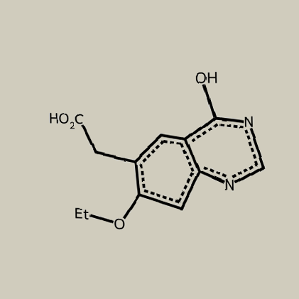 CCOc1cc2ncnc(O)c2cc1CC(=O)O